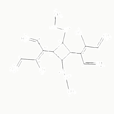 C=C/C(S)=C(\C=C)C1C(OOC)C(/C(C=C)=C(\S)C=C)C1OOC